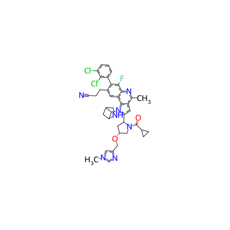 Cc1nc2c(F)c(-c3cccc(Cl)c3Cl)c(CCC#N)cc2c2c1cc(C1CC(OCc3cn(C)cn3)CN1C(=O)C1CC1)n2C1C2CNC1C2